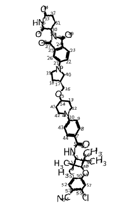 CC1(C)C(NC(=O)c2ccc(N3CCC(OC[C@H]4CCN(c5ccc6c(c5)C(=O)N(C5CCC(=O)NC5=O)C6=O)C4)CC3)cc2)C(C)(C)C1Oc1ccc(C#N)c(Cl)c1